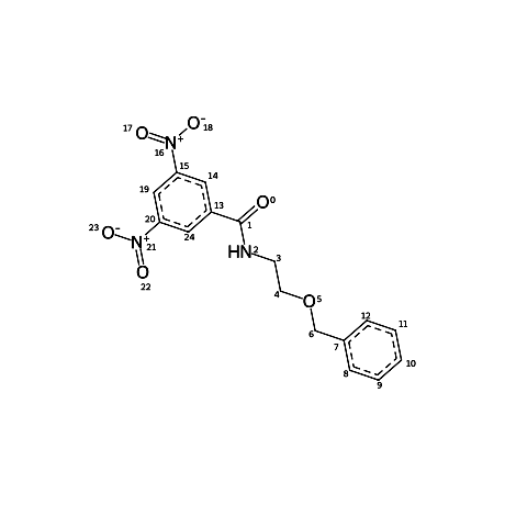 O=C(NCCOCc1ccccc1)c1cc([N+](=O)[O-])cc([N+](=O)[O-])c1